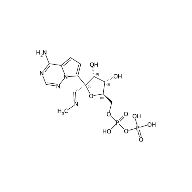 CN=C[C@@]1(c2ccc3c(N)ncnn23)O[C@H](COP(=O)(O)OP(=O)(O)O)[C@@H](O)[C@H]1O